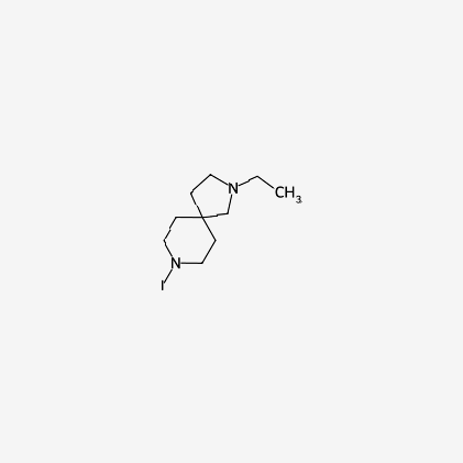 CCN1CCC2(CCN(I)CC2)C1